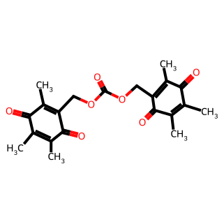 CC1=C(C)C(=O)C(COC(=O)OCC2=C(C)C(=O)C(C)=C(C)C2=O)=C(C)C1=O